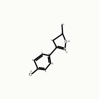 [CH2]C1CC(c2ccc(Cl)cc2)=NO1